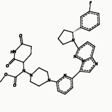 COC(=O)N(C1CCC(=O)NC1=O)N1CCN(c2cccc(-c3cnc4ccc(N5CCC[C@@H]5c5cccc(F)c5)nn34)n2)CC1